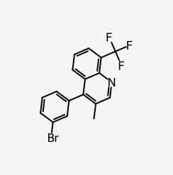 Cc1cnc2c(C(F)(F)F)cccc2c1-c1cccc(Br)c1